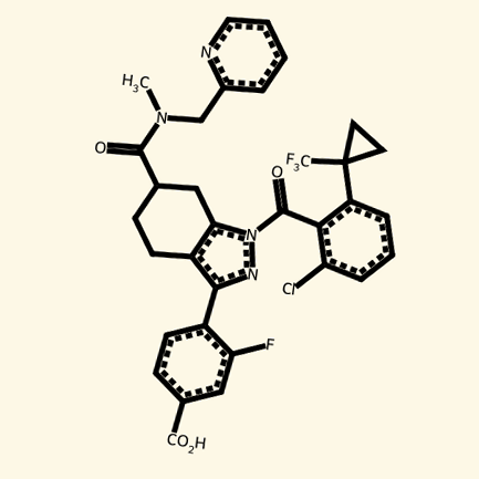 CN(Cc1ccccn1)C(=O)C1CCc2c(-c3ccc(C(=O)O)cc3F)nn(C(=O)c3c(Cl)cccc3C3(C(F)(F)F)CC3)c2C1